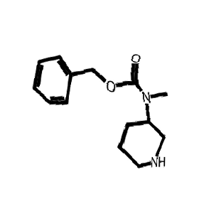 CN(C(=O)OCc1ccccc1)C1CCCNC1